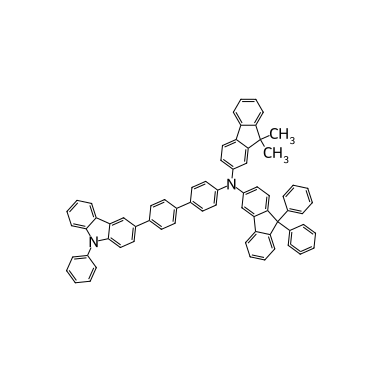 CC1(C)c2ccccc2-c2ccc(N(c3ccc(-c4ccc(-c5ccc6c(c5)c5ccccc5n6-c5ccccc5)cc4)cc3)c3ccc4c(c3)-c3ccccc3C4(C3=C=C=CC=C3)c3ccccc3)cc21